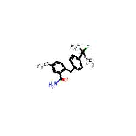 NC(=O)c1cc(C(F)(F)F)ccc1Cc1ccc(C(F)(C(F)(F)F)C(F)(F)F)cc1